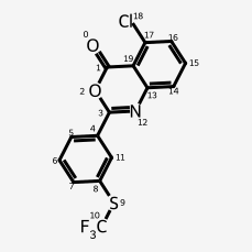 O=c1oc(-c2cccc(SC(F)(F)F)c2)nc2cccc(Cl)c12